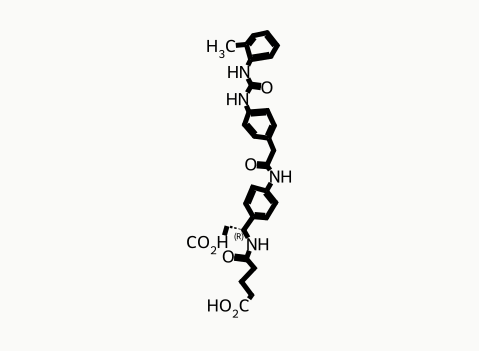 Cc1ccccc1NC(=O)Nc1ccc(CC(=O)Nc2ccc([C@@H](CC(=O)O)NC(=O)CCCC(=O)O)cc2)cc1